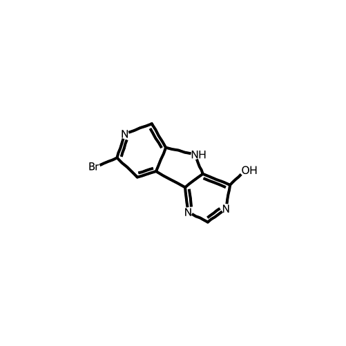 Oc1ncnc2c1[nH]c1cnc(Br)cc12